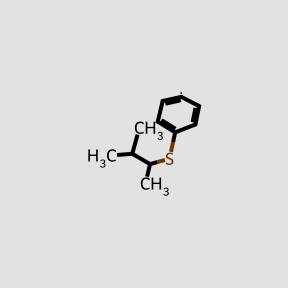 CC(C)C(C)Sc1cc[c]cc1